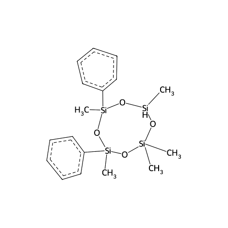 C[SiH]1O[Si](C)(C)O[Si](C)(c2ccccc2)O[Si](C)(c2ccccc2)O1